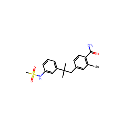 CC(C)(C)c1cc(CC(C)(C)c2cccc(NS(C)(=O)=O)c2)ccc1C(N)=O